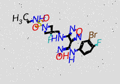 CCNS(=O)(=O)N1CC(F)(CNc2nonc2/C(=N/O)Nc2ccc(F)c(Br)c2)C1